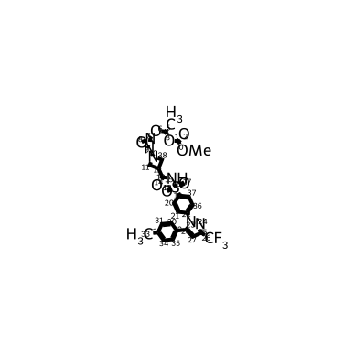 COC(=O)OC(C)On1on1N1CC(C(=O)NS(=O)(=O)c2ccc(-n3nc(C(F)(F)F)cc3-c3ccc(C)cc3)cc2)C1